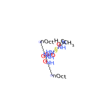 CCCCCCCC/C=C\CCCCCCCCNC(=O)CCC(NC(=O)CCC(=O)NCCSSCCNC(=O)CCCN(C)C)C(=O)NCCCCCCCC/C=C\CCCCCCCC